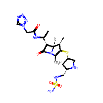 CC(NC(=O)Cn1cnnn1)[C@H]1C(=O)N2C(C(=O)O)=C(S[C@@H]3CN[C@H](CNS(N)(=O)=O)C3)[C@H](C)[C@H]12